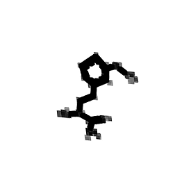 CCCCN(CCc1cccc(OC(F)(F)F)c1)C(N)=S